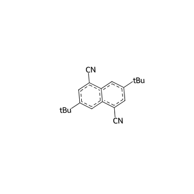 CC(C)(C)c1cc(C#N)c2cc(C(C)(C)C)cc(C#N)c2c1